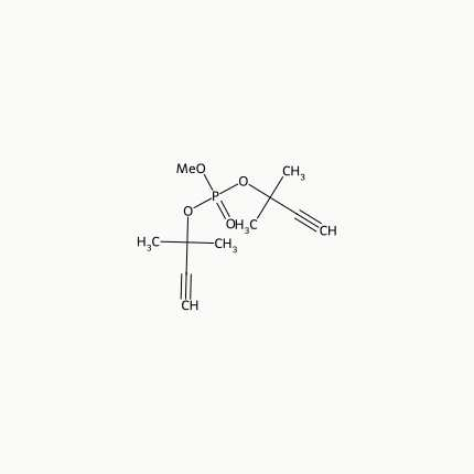 C#CC(C)(C)OP(=O)(OC)OC(C)(C)C#C